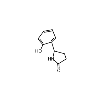 O=C1CCC(c2ccccc2O)N1